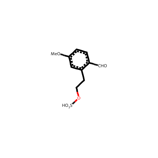 COc1ccc(C=O)c(CCOS(=O)(=O)O)c1